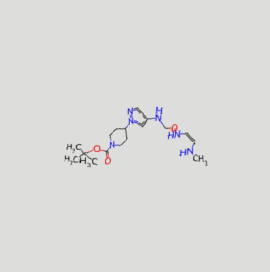 CN/C=C\NOCNc1cnn(C2CCN(C(=O)OC(C)(C)C)CC2)c1